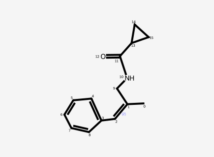 C/C(=C/c1ccccc1)CNC(=O)C1CC1